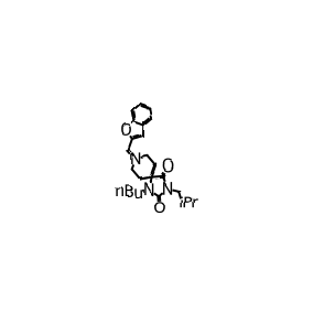 CCCCN1C(=O)N(CC(C)C)C(=O)C12CCN(Cc1cc3ccccc3o1)CC2